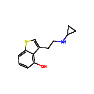 Oc1cccc2scc(CCNC3CC3)c12